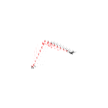 CC(O)C(=O)[O-].CC(O)C(=O)[O-].CC(O)C(=O)[O-].CC(O)C(=O)[O-].CC(O)C(=O)[O-].CC(O)C(=O)[O-].CC(O)C(=O)[O-].CC(O)C(=O)[O-].CC(O)C(=O)[O-].CC(O)C(=O)[O-].CC(O)C(=O)[O-].CC(O)C(=O)[O-].CC(O)C(=O)[O-].CC([O-])C(=O)[O-].CC([O-])C(=O)[O-].[K+].[K+].[K+].[Na+].[Na+].[Ti+4].[Ti+4].[Ti+4]